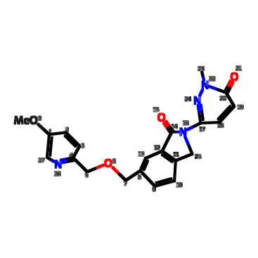 COc1ccc(COCc2ccc3c(c2)C(=O)N(c2ccc(=O)n(C)n2)C3)nc1